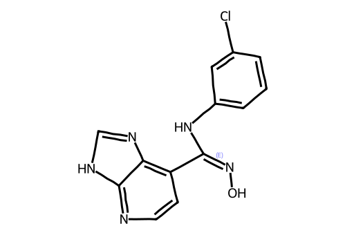 O/N=C(/Nc1cccc(Cl)c1)c1ccnc2[nH]cnc12